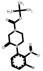 CC(C)(C)OC(=O)N1CCN(c2cccc(Br)c2[N+](=O)[O-])C(=O)C1